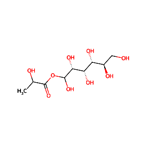 CC(O)C(=O)OC(O)[C@H](O)[C@@H](O)[C@H](O)[C@H](O)CO